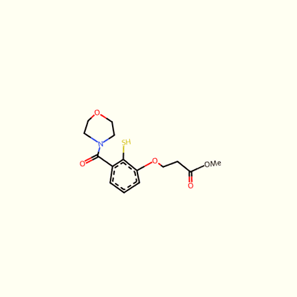 COC(=O)CCOc1cccc(C(=O)N2CCOCC2)c1S